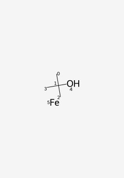 CC(C)(C)O.[Fe]